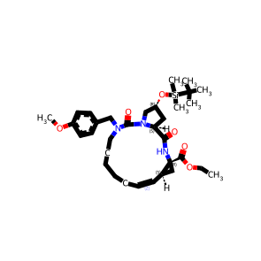 CCOC(=O)[C@@]12C[C@H]1/C=C\CCCCCN(Cc1ccc(OC)cc1)C(=O)N1C[C@H](O[Si](C)(C)C(C)(C)C)C[C@H]1C(=O)N2